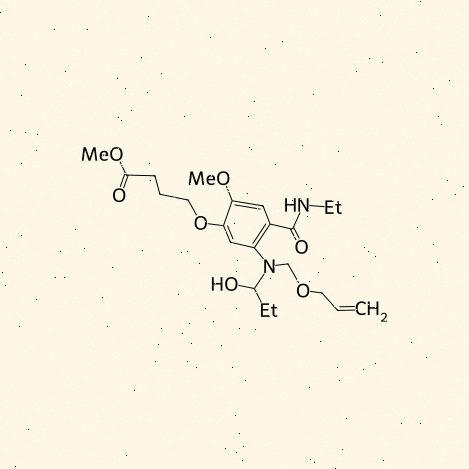 C=CCOCN(c1cc(OCCCC(=O)OC)c(OC)cc1C(=O)NCC)C(O)CC